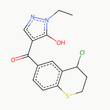 CCn1ncc(C(=O)c2ccc3c(c2)C(Cl)CCS3)c1O